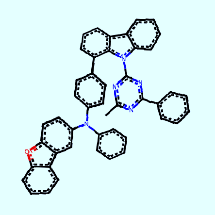 Cc1nc(-c2ccccc2)nc(-n2c3ccccc3c3cccc(-c4ccc(N(c5ccccc5)c5ccc6oc7ccccc7c6c5)cc4)c32)n1